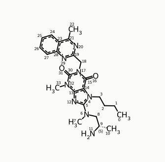 CCCCn1c(N(C)C[C@H](C)N)nc2c1c(=O)n(Cc1nc(C)c3ccccc3n1)c(=O)n2C